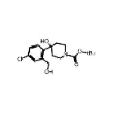 CC(C)(C)OC(=O)N1CCC(O)(c2ccc(Cl)cc2CO)CC1